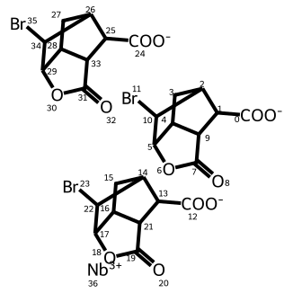 O=C([O-])C1C2CC3C(OC(=O)C31)C2Br.O=C([O-])C1C2CC3C(OC(=O)C31)C2Br.O=C([O-])C1C2CC3C(OC(=O)C31)C2Br.[Nb+3]